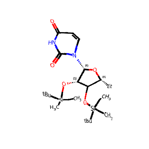 CC[C@H]1O[C@@H](n2ccc(=O)[nH]c2=O)[C@@H](O[Si](C)(C)C(C)(C)C)C1O[Si](C)(C)C(C)(C)C